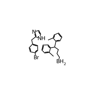 BCCCC(c1ccccc1C)c1ccccc1C.Brc1ccc(Cc2ncc[nH]2)cc1